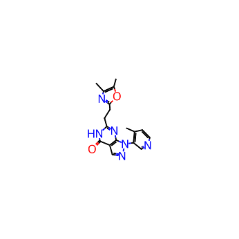 Cc1ccncc1-n1ncc2c(=O)[nH]c(CCc3nc(C)c(C)o3)nc21